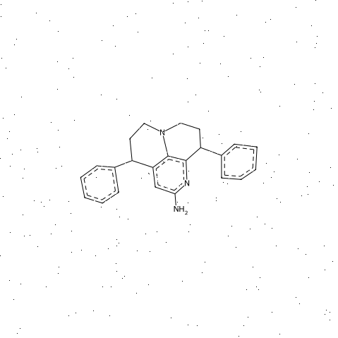 Nc1cc2c3c(n1)C(c1ccccc1)CCN3CCC2c1ccccc1